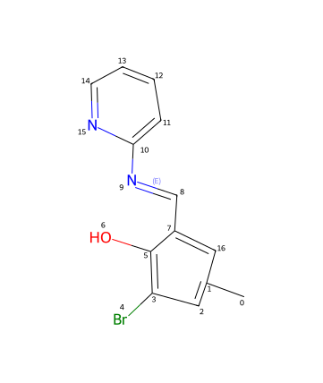 Cc1cc(Br)c(O)c(/C=N/c2ccccn2)c1